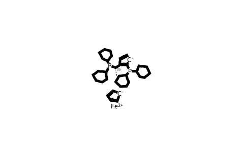 C[C@@H](c1cc[cH-]c1P(C1CCCCC1)C1CCCCC1)P(C1CCCCC1)C1CCCCC1.[Fe+2].c1cc[cH-]c1